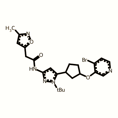 Cc1cc(CC(=O)Nc2cc(C3CCC(Oc4cnccc4Br)C3)n(C(C)(C)C)n2)on1